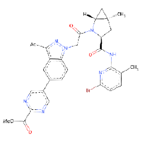 COC(=O)c1ncc(-c2ccc3c(c2)c(C(C)=O)nn3CC(=O)N2[C@H](C(=O)Nc3nc(Br)ccc3C)C[C@]3(C)C[C@@H]23)cn1